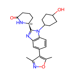 Cc1noc(C)c1-c1ccc2c(c1)nc([C@@H]1CCCC(=O)N1)n2C1CCC(O)CC1